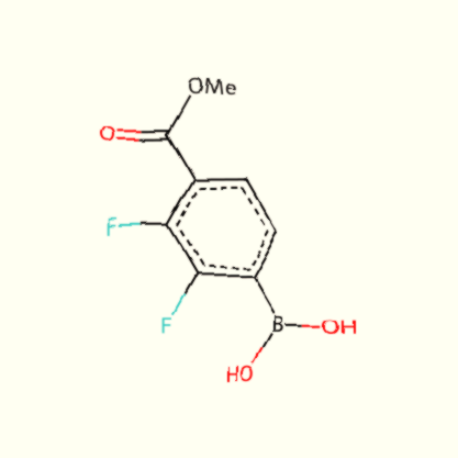 COC(=O)c1ccc(B(O)O)c(F)c1F